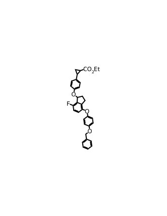 CCOC(=O)C1CC1c1ccc(OC2CCc3c(Oc4ccc(OCc5ccccc5)cc4)ccc(F)c32)cc1